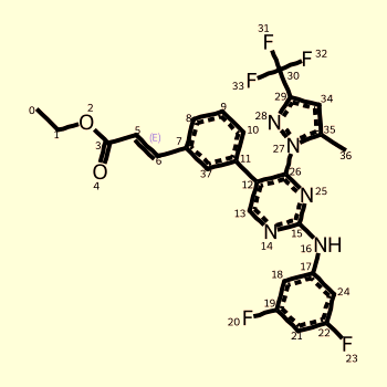 CCOC(=O)/C=C/c1cccc(-c2cnc(Nc3cc(F)cc(F)c3)nc2-n2nc(C(F)(F)F)cc2C)c1